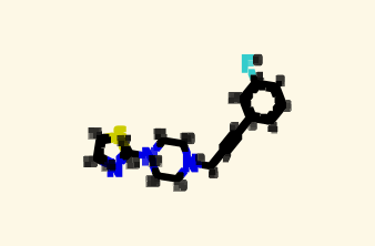 Fc1cccc(C#CCN2CCN(c3nccs3)CC2)c1